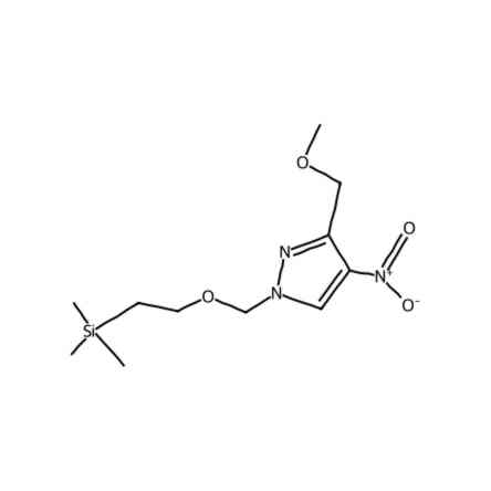 COCc1nn(COCC[Si](C)(C)C)cc1[N+](=O)[O-]